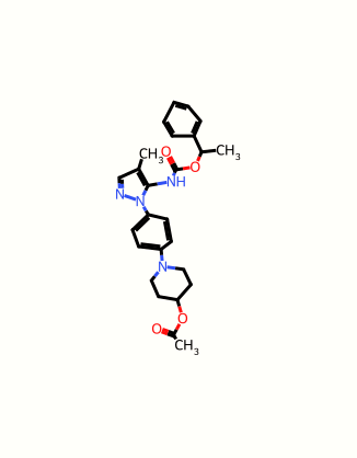 CC(=O)OC1CCN(c2ccc(-n3ncc(C)c3NC(=O)OC(C)c3ccccc3)cc2)CC1